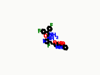 N[C@H](C(=O)Nc1cncc(F)c1CC[C@@H]1CN[C@H](C(=O)Nc2ccccc2O)CO1)C(c1ccc(F)cc1)c1ccc(F)cc1